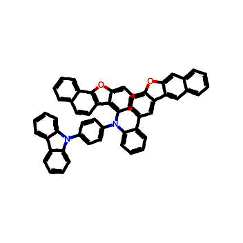 c1ccc(N(c2ccc(-n3c4ccccc4c4ccccc43)cc2)c2cccc3oc4c5ccccc5ccc4c23)c(-c2ccc3oc4cc5ccccc5cc4c3c2)c1